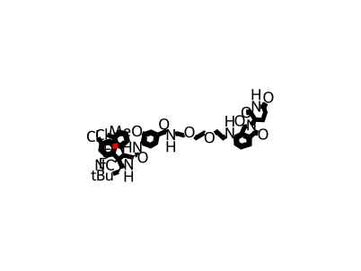 COc1cc(C(=O)NCCOCCOCCNc2cccc3c2C(=O)N(C2CCC(=O)NC2=O)C3=O)ccc1NC(=O)[C@@H]1N[C@@H](CC(C)(C)C)[C@](C#N)(c2ccc(Cl)cc2F)[C@H]1c1cccc(Cl)c1F